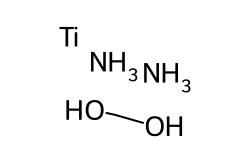 N.N.OO.[Ti]